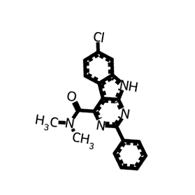 CN(C)C(=O)c1nc(-c2ccccc2)nc2[nH]c3cc(Cl)ccc3c12